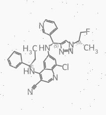 CC[C@@H](Nc1c(C#N)cnc2c(Cl)cc(N[C@@H](c3cccnc3)c3cn([C@@H](C)CF)nn3)cc12)c1ccccc1